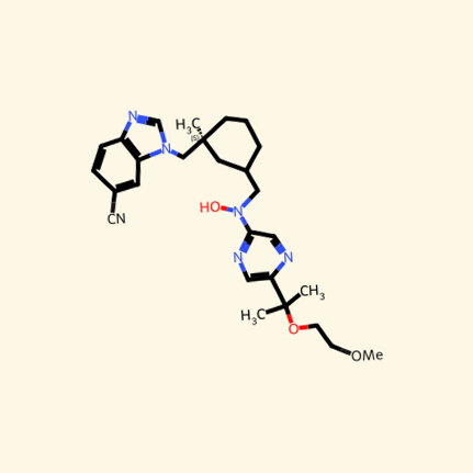 COCCOC(C)(C)c1cnc(N(O)CC2CCC[C@](C)(Cn3cnc4ccc(C#N)cc43)C2)cn1